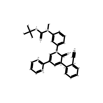 CN(C(=O)OC(C)(C)C)c1cccc(-n2cc(-c3ncccn3)cc(-c3ccccc3C#N)c2=O)c1